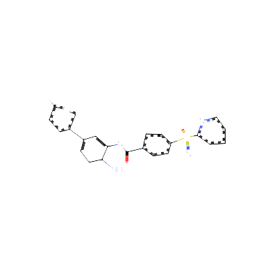 N=S(=O)(c1ccc(C(=O)NC2=CC(c3ccc(F)cc3)=CCC2N)cc1)c1ccccn1